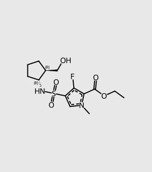 CCOC(=O)c1c(F)c(S(=O)(=O)N[C@@H]2CCC[C@H]2CO)cn1C